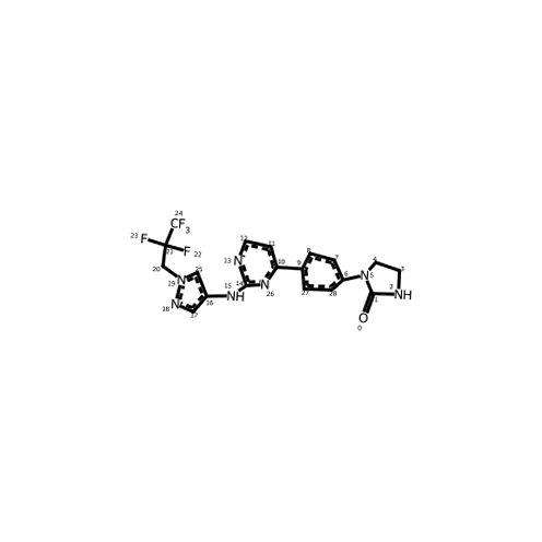 O=C1NCCN1c1ccc(-c2ccnc(Nc3cnn(CC(F)(F)C(F)(F)F)c3)n2)cc1